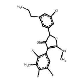 CCCc1cc(Cl)cc(C2OC(NC)=C(c3cc(F)c(F)c(C)c3F)C2=O)c1